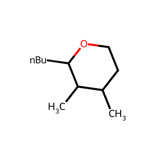 CCCCC1OCCC(C)C1C